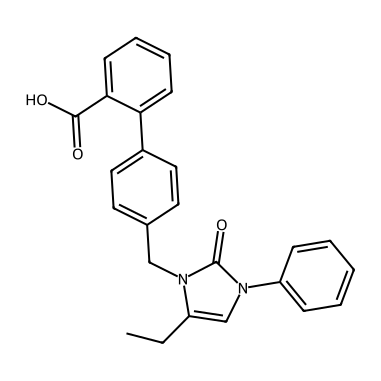 CCc1cn(-c2ccccc2)c(=O)n1Cc1ccc(-c2ccccc2C(=O)O)cc1